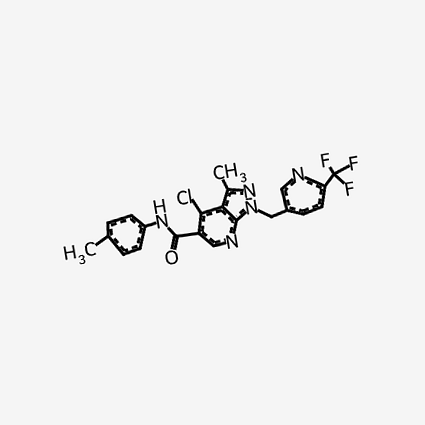 Cc1ccc(NC(=O)c2cnc3c(c(C)nn3Cc3ccc(C(F)(F)F)nc3)c2Cl)cc1